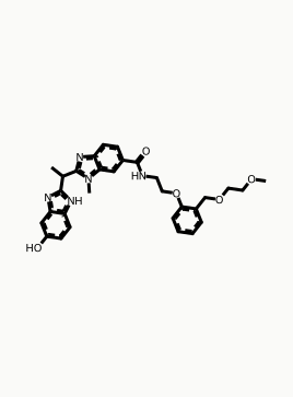 COCCOCc1ccccc1OCCNC(=O)c1ccc2nc(C(C)c3nc4cc(O)ccc4[nH]3)n(C)c2c1